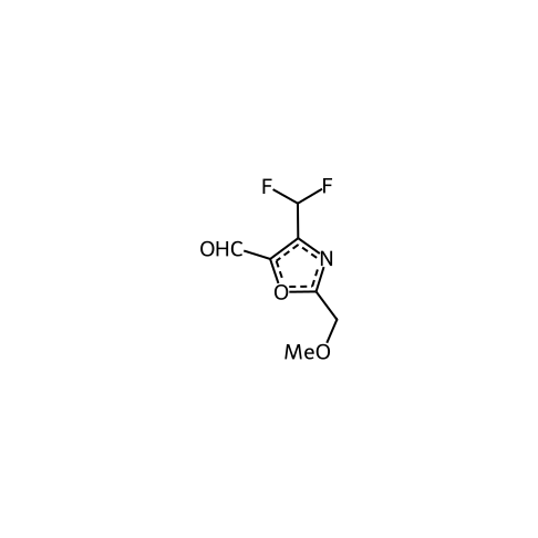 COCc1nc(C(F)F)c(C=O)o1